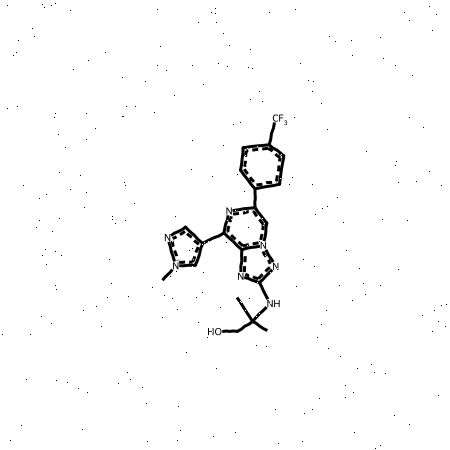 Cn1cc(-c2nc(-c3ccc(C(F)(F)F)cc3)cn3nc(NC(C)(C)CO)nc23)cn1